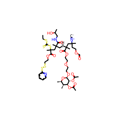 [C-]#[N+]C(C)(CCOC=O)CC(C)(BCC(C)(CC(C)(SC(=S)SCC)C(=O)OCCSSc1ccccn1)C(=O)NCC(C)O)C(=O)OCCOCCO[C@@H]1O[C@H](C)[C@H](C)[C@H](OC(C)=O)[C@H]1OC(C)=O